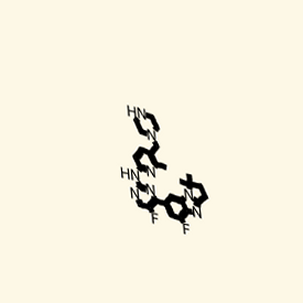 Cc1nc(Nc2ncc(F)c(-c3cc(F)c4nc5n(c4c3)C(C)(C)CC5)n2)ccc1CN1CCNCC1